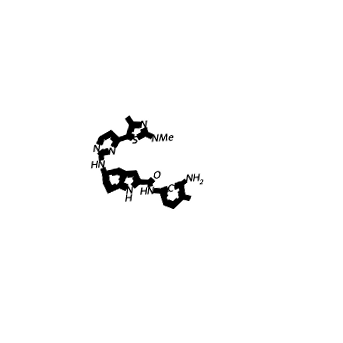 CNc1nc(C)c(-c2ccnc(Nc3ccc4[nH]c(C(=O)Nc5ccc(C)c(N)c5)cc4c3)n2)s1